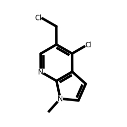 Cn1ccc2c(Cl)c(CCl)cnc21